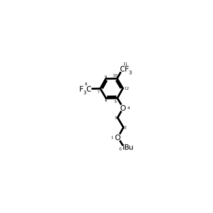 CCC(C)OCCOc1cc(C(F)(F)F)cc(C(F)(F)F)c1